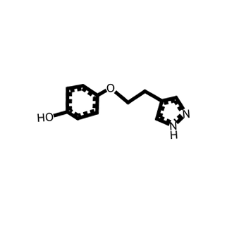 Oc1ccc(OCCc2cn[nH]c2)cc1